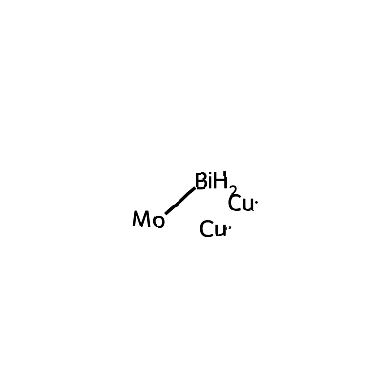 [Cu].[Cu].[Mo][BiH2]